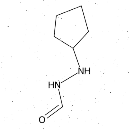 O=CNNC1CCCC1